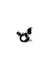 COc1ccc2c(O[C@@H]3C[C@H]4C(=O)N[C@]5(C(=O)O)C[C@H]5CCCCCCC[C@H](NC(=O)OC(C)(C)C)C(=O)N4C3)nccc2c1